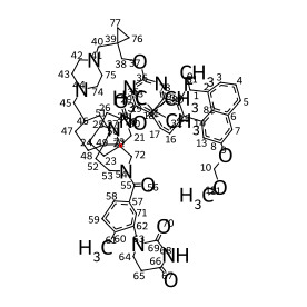 CCc1cccc2cc(OCOC)cc(-c3ccc4c(N5CC6CCC(C5)N6C(=O)OC(C)(C)C)nc(OCC5(CN6CCN(CC7CCC8(CC7)CCN(C(=O)c7ccc(C)c(N9CCC(=O)NC9=O)c7)CC8)CC6)CC5)nc4c3F)c12